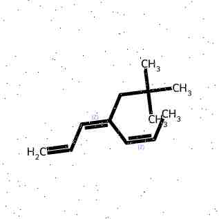 C=C/C=C(\C=C/C)CC(C)(C)C